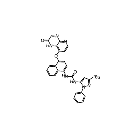 CC(C)(C)c1cc(NC(=O)Nc2ccc(Oc3ccnc4ncc(=O)[nH]c34)c3ccccc23)n(-c2ccccc2)n1